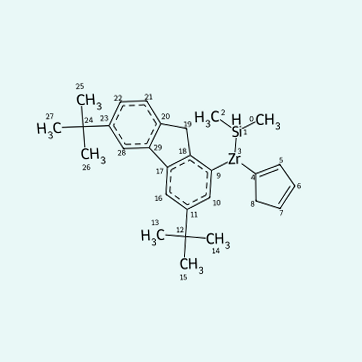 C[SiH](C)[Zr]([C]1=CC=CC1)[c]1cc(C(C)(C)C)cc2c1Cc1ccc(C(C)(C)C)cc1-2